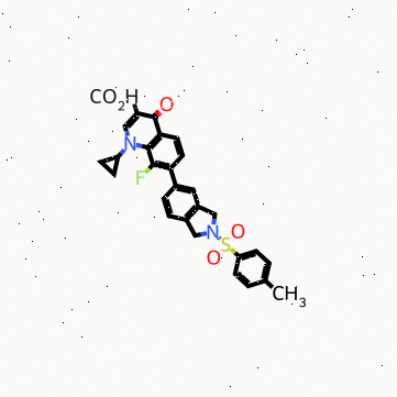 Cc1ccc(S(=O)(=O)N2Cc3ccc(-c4ccc5c(=O)c(C(=O)O)cn(C6CC6)c5c4F)cc3C2)cc1